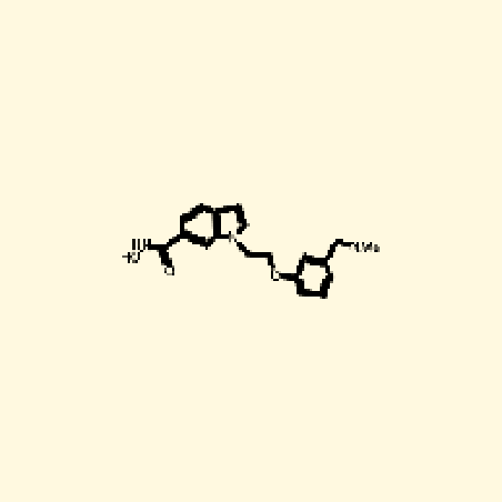 CNCc1cccc(OCCn2ccc3ccc(C(=O)NO)cc32)c1